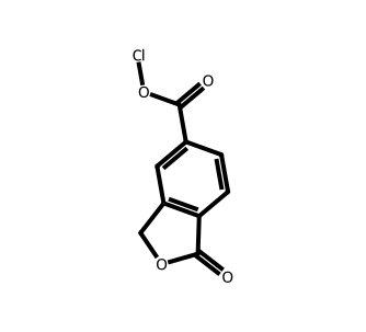 O=C(OCl)c1ccc2c(c1)COC2=O